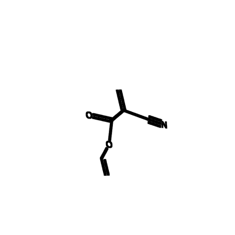 C=COC(=O)C(=C)C#N